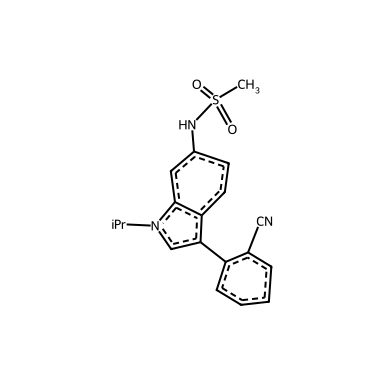 CC(C)n1cc(-c2ccccc2C#N)c2ccc(NS(C)(=O)=O)cc21